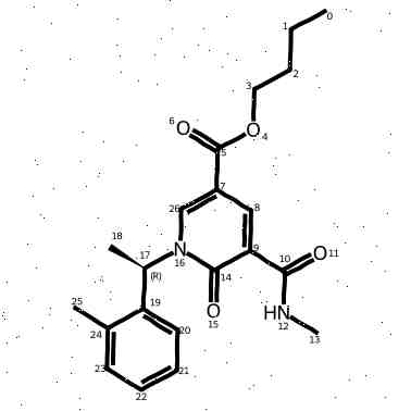 CCCCOC(=O)c1cc(C(=O)NC)c(=O)n([C@H](C)c2ccccc2C)c1